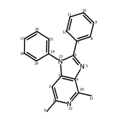 Cc1cc2c(nc(-c3ccccc3)n2-c2c[c]ccc2)c(C)n1